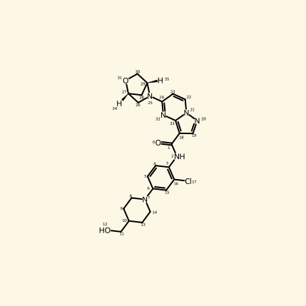 O=C(Nc1ccc(N2CCC(CO)CC2)cc1Cl)c1cnn2ccc(N3C[C@H]4C[C@@H]3CO4)nc12